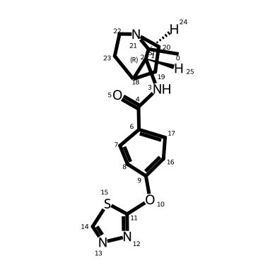 C[C@H]1[C@H](NC(=O)c2ccc(Oc3nncs3)cc2)C2CCN1CC2